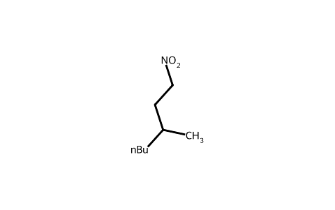 [CH2]CCCC(C)CC[N+](=O)[O-]